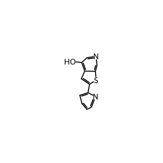 Oc1cncc2sc(-c3ccccn3)cc12